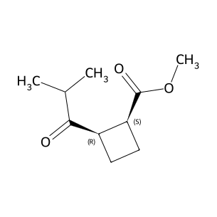 COC(=O)[C@H]1CC[C@H]1C(=O)C(C)C